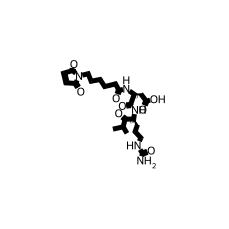 CC(C)C(=O)[C@H](CCCNC(N)=O)NC(=O)[C@H](CC(=O)O)NC(=O)CCCCCN1C(=O)C=CC1=O